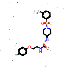 O=C(NCCOc1ccc(F)cc1)ON=C1CCN(S(=O)(=O)c2cccc(C(F)(F)F)c2)CC1